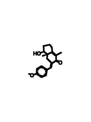 COc1ccc(/C=C2\C[C@@]3(C)C(=C(C)C2=O)CCC[C@@H]3O)cc1